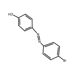 Oc1ccc(/N=N/c2ccc(Br)cc2)cc1